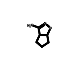 CC1=NOC2CCCC12